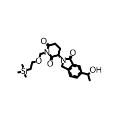 CC(O)c1ccc2c(c1)C(=O)N(C1CCC(=O)N(COCC[Si](C)(C)C)C1=O)C2